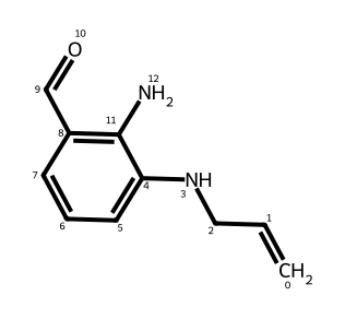 C=CCNc1cccc(C=O)c1N